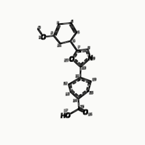 COC1=CC=CC(c2cnc(-c3ccc(C(=O)O)cc3)o2)C1